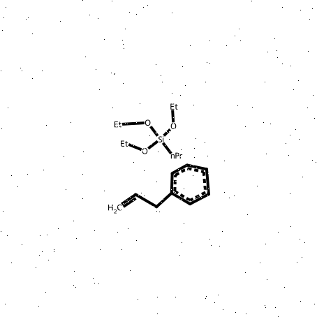 C=CCc1ccccc1.[CH2]CC[Si](OCC)(OCC)OCC